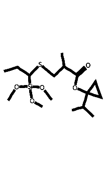 CCC(SCC(C)C(=O)OC1(C(C)C)CC1)[Si](OC)(OC)OC